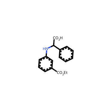 CCOC(=O)c1cccc(NC(C(=O)O)c2ccccc2)c1